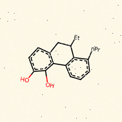 CCCc1cccc2c1C(CC)Cc1ccc(O)c(O)c1-2